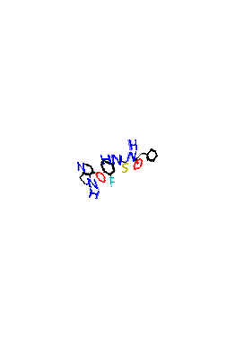 O=C(Cc1ccccc1)NC(=S)Nc1ccc(Oc2ccnc3c2NCC3)c(F)c1